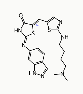 CN(C)CCCCNc1ncc(/C=C2\SC(=Nc3ccc4cn[nH]c4c3)NC2=O)s1